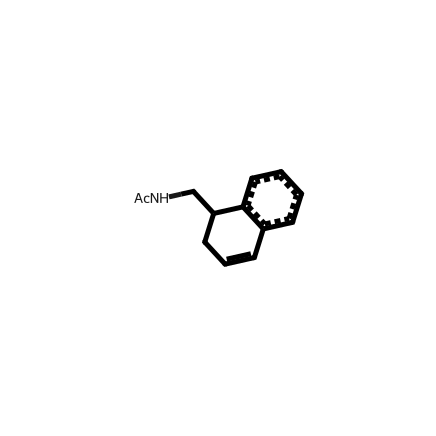 CC(=O)NCC1CC=Cc2ccccc21